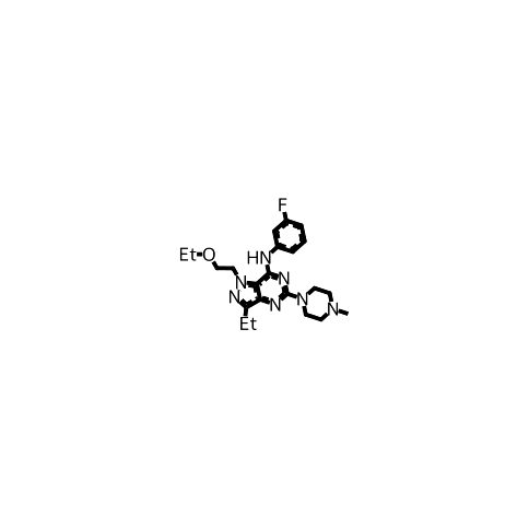 CCOCCn1nc(CC)c2nc(N3CCN(C)CC3)nc(Nc3cccc(F)c3)c21